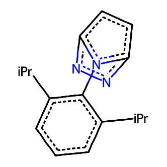 CC(C)c1cccc(C(C)C)c1-n1c2ccc1nn2